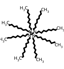 CCCCCCCCCC[N](CCCCCCCCCC)[Ti]([N](CCCCCCCCCC)CCCCCCCCCC)([N](CCCCCCCCCC)CCCCCCCCCC)[N](CCCCCCCCCC)CCCCCCCCCC